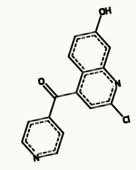 O=C(c1ccncc1)c1cc(Cl)nc2cc(O)ccc12